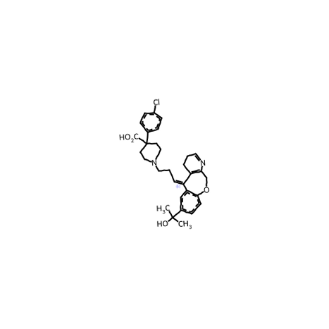 CC(C)(O)c1ccc2c(c1)/C(=C/CCN1CCC(C(=O)O)(c3ccc(Cl)cc3)CC1)C1=C(CO2)N=CCC1